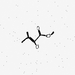 COC(=O)C(Cl)=C(C)C